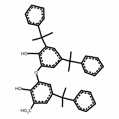 CC(C)(c1ccccc1)c1cc(Oc2cc(C(C)(C)c3ccccc3)cc(C(C)(C)c3ccccc3)c2O)c(O)c(C(=O)O)c1